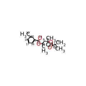 C=C(C)C(=O)OC(C)(C)CC(C)OC(=O)c1cccc(C)c1